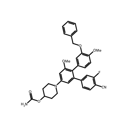 COc1ccc(-c2c(OC)cc(N3CCC(OC(N)=O)CC3)cc2-c2ccc(C#N)c(F)c2)cc1OCc1ccccc1